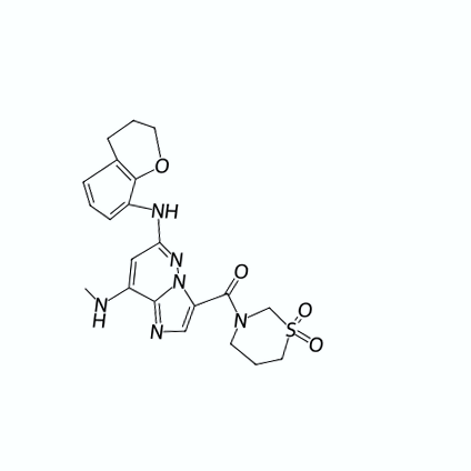 CNc1cc(Nc2cccc3c2OCCC3)nn2c(C(=O)N3CCCS(=O)(=O)C3)cnc12